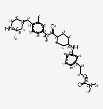 Cc1cc(N(C)C(=O)C2CCC(Nc3cccc(CCOC(=O)N(C)C)c3)CC2)ccc1CN1CCN[C@@H](C)C1